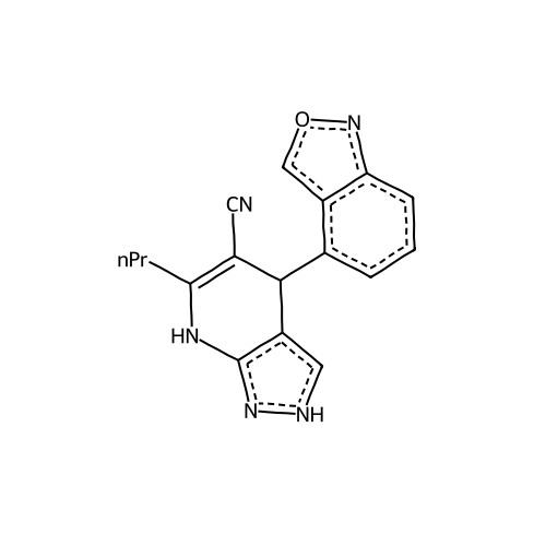 CCCC1=C(C#N)C(c2cccc3nocc23)c2c[nH]nc2N1